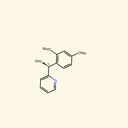 COc1ccc([C@H](C=O)c2ccccn2)c(OC)c1